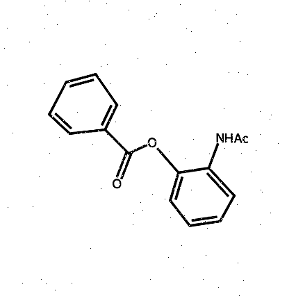 CC(=O)Nc1ccccc1OC(=O)c1ccccc1